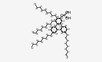 CCCCCCCCCc1ccc(-c2cc(OP(O)O)c(CCCCCCCCC)c(CCCCCCCCC)c2-c2ccc(CCCCCCCCC)cc2)cc1